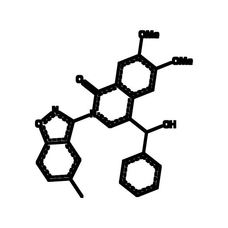 COc1cc2c(C(O)c3ccccc3)cn(-c3noc4ccc(C)cc34)c(=O)c2cc1OC